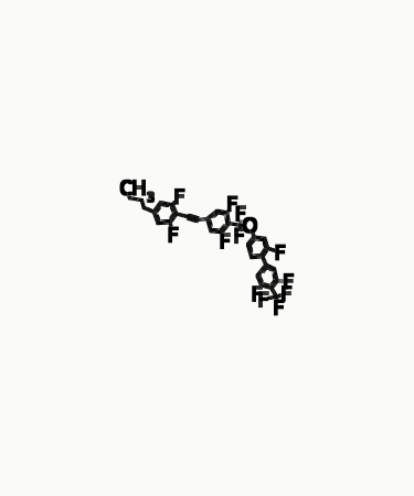 CCCCc1cc(F)c(C#Cc2cc(F)c(C(F)(F)Oc3ccc(-c4cc(F)c(C(F)(F)F)c(F)c4)c(F)c3)c(F)c2)c(F)c1